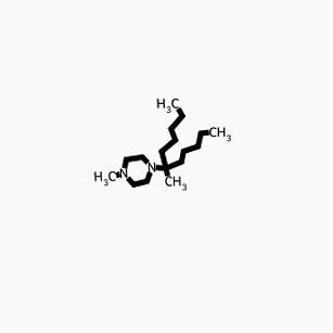 CCCCCC(C)(CCCCC)N1CCN(C)CC1